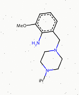 COc1cccc(CN2CCN(C(C)C)CC2)c1N